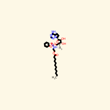 CCCCCCCCCCCC(=O)OCCNP(=O)(OC[C@@]1(C)O[C@@H](c2ccc3c(N)ncnn23)[C@H](O)[C@@H]1O)Oc1ccccc1